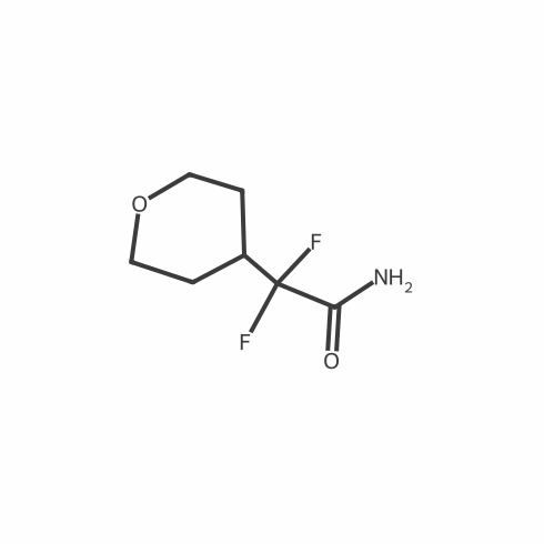 NC(=O)C(F)(F)C1CCOCC1